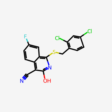 N#Cc1c(O)nc(SCc2ccc(Cl)cc2Cl)c2cc(F)ccc12